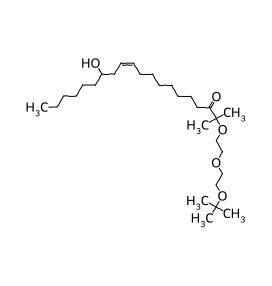 CCCCCCC(O)C/C=C\CCCCCCCC(=O)C(C)(C)OCCOCCOC(C)(C)C